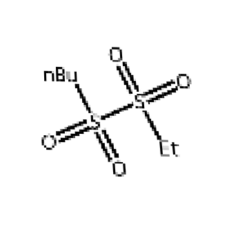 CCCCS(=O)(=O)S(=O)(=O)CC